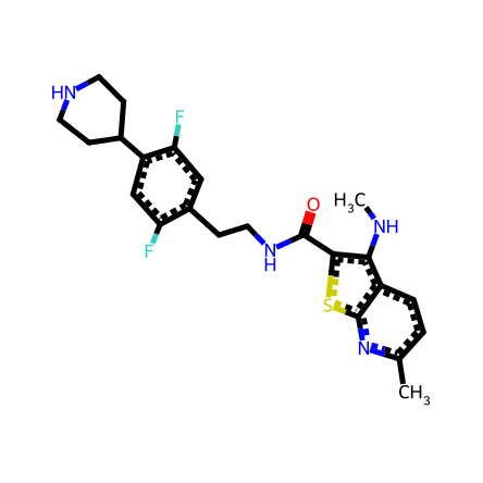 CNc1c(C(=O)NCCc2cc(F)c(C3CCNCC3)cc2F)sc2nc(C)ccc12